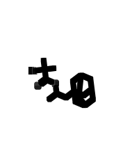 CCC(C)(C)C(=O)OC(C)CC12CC3CC(CC(C3)C1)C2